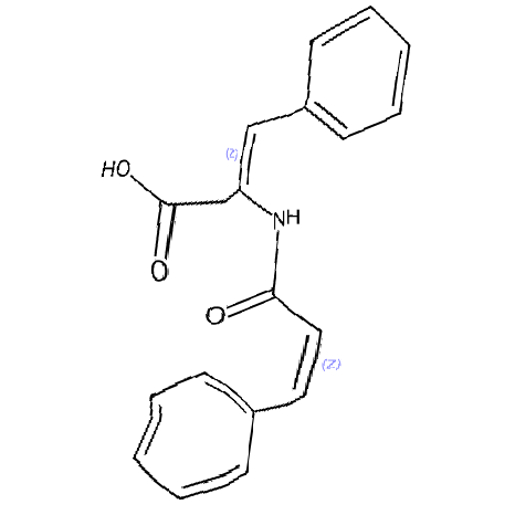 O=C(/C=C\c1ccccc1)N/C(=C\c1ccccc1)C(=O)O